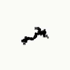 CCc1c(F)ccc2cc(N)cc(-c3ncc4c(N5CCC[C@@](C)(O)C5)nc(OCC5(CN6CCC7(CC6)CC(CN6CCN(c8ccc9c(c8)CN([C@H]8CCC(=O)NC8=O)C9=O)CC6)C7)CC5)nc4c3F)c12